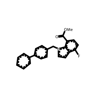 COC(=O)c1ccc(F)c2ccn(Cc3ccc(-c4ccccc4)cc3)c12